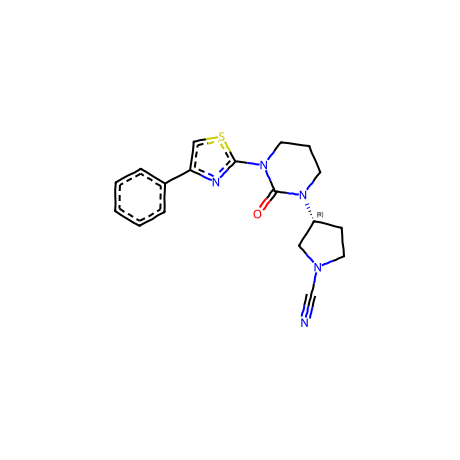 N#CN1CC[C@@H](N2CCCN(c3nc(-c4ccccc4)cs3)C2=O)C1